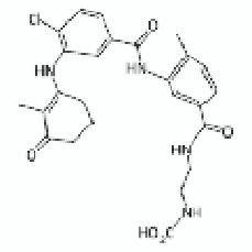 CC1=C(Nc2cc(C(=O)Nc3cc(C(=O)NCCNC(=O)O)ccc3C)ccc2Cl)CCCC1=O